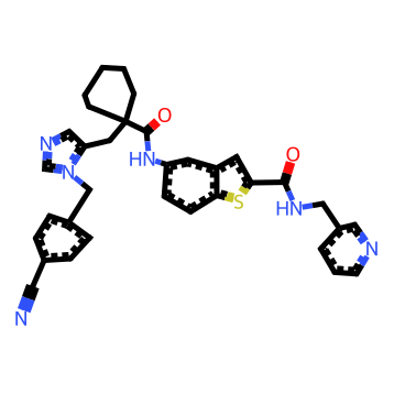 N#Cc1ccc(Cn2cncc2CC2(C(=O)Nc3ccc4sc(C(=O)NCc5cccnc5)cc4c3)CCCCC2)cc1